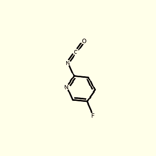 O=C=Nc1ccc(F)cn1